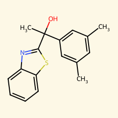 Cc1cc(C)cc(C(C)(O)c2nc3ccccc3s2)c1